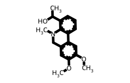 COc1cc2c(cc1OC)-c1cccc(C(C)O)c1N(C)C2